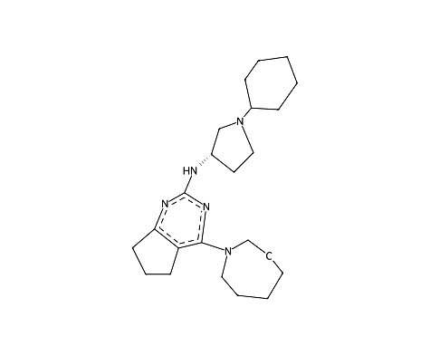 C1CCC(N2CC[C@H](Nc3nc4c(c(N5CCCCCC5)n3)CCC4)C2)CC1